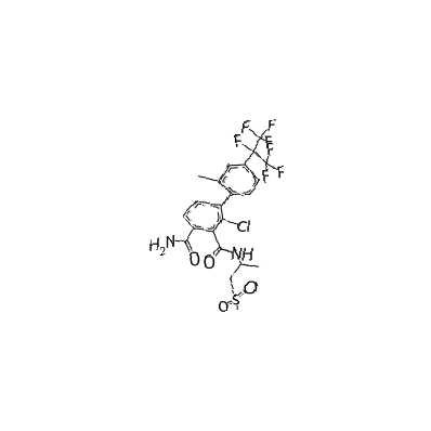 Cc1cc(C(F)(C(F)(F)F)C(F)(F)F)ccc1-c1ccc(C(N)=O)c(C(=O)NC(C)CS(C)(=O)=O)c1Cl